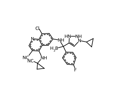 BC(Nc1cc(Cl)c2ncc(C#N)c(NC3(C#N)CC3)c2c1)(C1=CN(C2CC2)NN1)c1ccc(F)cc1